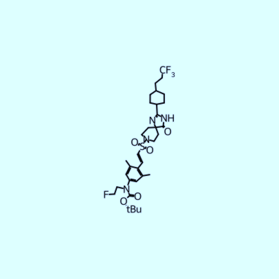 Cc1cc(N(CCF)C(=O)OC(C)(C)C)cc(C)c1/C=C/S(=O)(=O)N1CCC2(CC1)N=C(C1CCC(CCC(F)(F)F)CC1)NC2=O